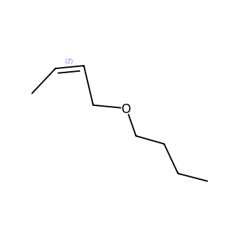 C/C=C\COCCCC